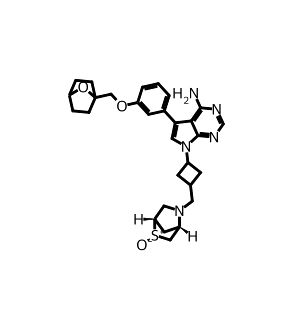 Nc1ncnc2c1c(-c1cccc(OCC34CCC(CC3)O4)c1)cn2C1CC(CN2C[C@@H]3C[C@H]2C[S@+]3[O-])C1